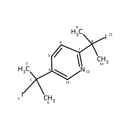 CC(C)(I)c1ccc(C(C)(C)I)nc1